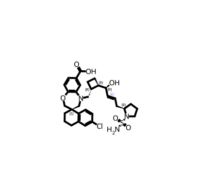 NS(=O)(=O)N1CCC[C@@H]1C/C=C/[C@H](O)[C@@H]1CC[C@H]1CN1C[C@@]2(CCCc3cc(Cl)ccc32)COc2ccc(C(=O)O)cc21